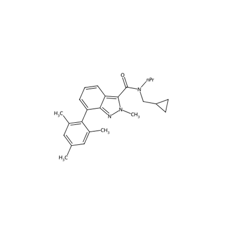 CCCN(CC1CC1)C(=O)c1c2cccc(-c3c(C)cc(C)cc3C)c2nn1C